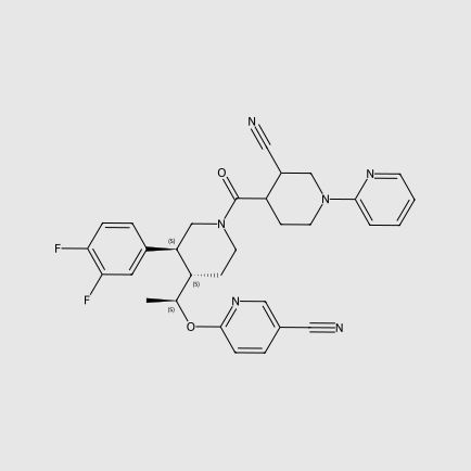 C[C@H](Oc1ccc(C#N)cn1)[C@H]1CCN(C(=O)C2CCN(c3ccccn3)CC2C#N)C[C@@H]1c1ccc(F)c(F)c1